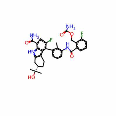 Cc1c(NC(=O)c2cccc(F)c2COC(N)=O)cccc1-c1c(F)cc(C(N)=O)c2[nH]c3c(c12)CC[C@H](C(C)(C)O)C3